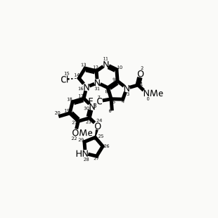 CNC(=O)N1CC(C)(C(F)(F)F)C2=C1C=NC1=C[C@@H](Cl)N(c3cc(C)c(OC)c(O[C@H]4CCNC4)n3)N12